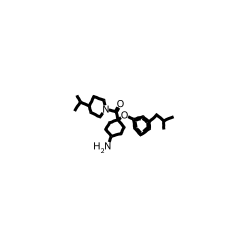 CC(C)Cc1cccc(OC2(C(=O)N3CCC(C(C)C)CC3)CCC(N)CC2)c1